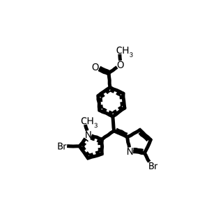 COC(=O)c1ccc(/C(=C2\C=CC(Br)=N2)c2ccc(Br)n2C)cc1